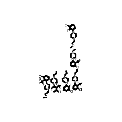 C=CCN1CCN(c2cccc(Cl)c2C(F)(F)F)CC1.C=CCN1CCN(c2cccc(Cl)c2F)CC1.CCCN1CCN(c2cccc(Cl)c2C(F)(F)F)CC1.CCN1CCN(c2cccc(Cl)c2C(F)(F)F)CC1.COCCN1CCN(c2cccc(Cl)c2C(F)(F)F)CC1.COCCN1CCN(c2cccc(Cl)c2F)CC1